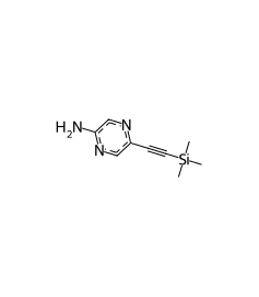 C[Si](C)(C)C#Cc1cnc(N)cn1